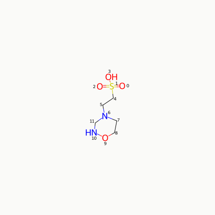 O=S(=O)(O)CCN1CCONC1